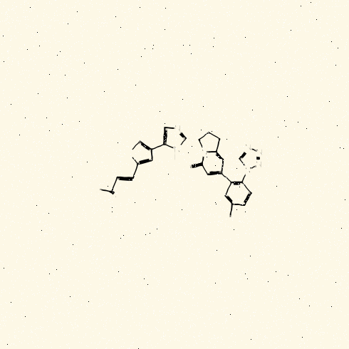 O=C(O)/C=C/c1cc(-c2cnc([C@@H]3CCc4cc(-c5cc(Cl)ccc5-n5cnnn5)cc(=O)n43)[nH]2)cs1